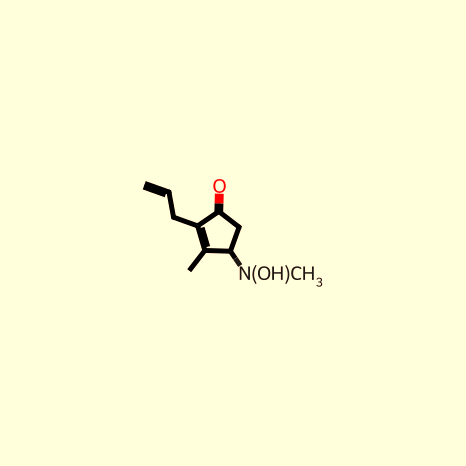 C=CCC1=C(C)C(N(C)O)CC1=O